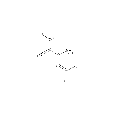 COC(=O)C(N)C=C(C)C